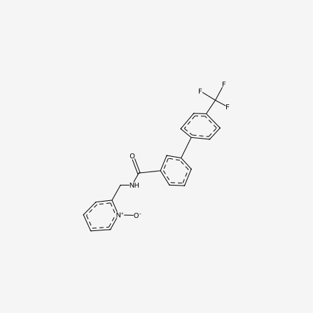 O=C(NCc1cccc[n+]1[O-])c1cccc(-c2ccc(C(F)(F)F)cc2)c1